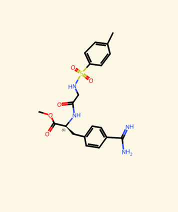 COC(=O)[C@H](Cc1ccc(C(=N)N)cc1)NC(=O)CNS(=O)(=O)c1ccc(C)cc1